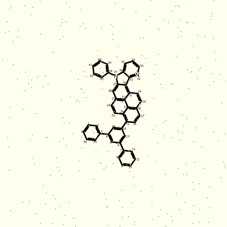 c1ccc(-c2cc(-c3ccccc3)cc(-c3ccc4ccc5c6c(ccc3c46)cc3c5c4ncccc4n3-c3ccccc3)c2)cc1